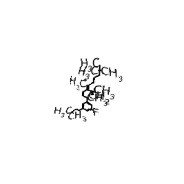 C=C(C)C(/C=C\C(C)c1cc(F)cc(CCC(C)C)c1)=C(/C)CCCC(C)(C)CC